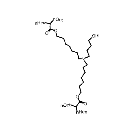 CCCCCCCCC(CCCCCC)C(=O)OCCCCCCCN(CCCCO)CCCCCCCOC(=O)C(CCCCCC)CCCCCCCC